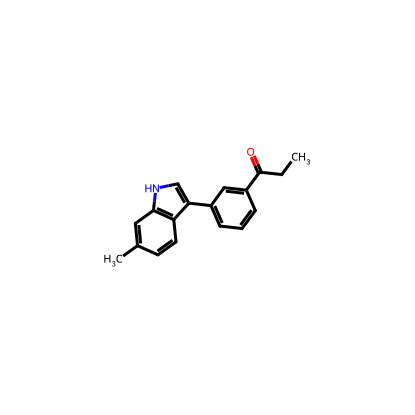 CCC(=O)c1cccc(-c2c[nH]c3cc(C)ccc23)c1